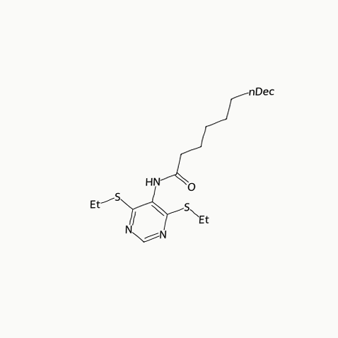 CCCCCCCCCCCCCCCC(=O)Nc1c(SCC)ncnc1SCC